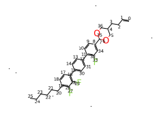 C=CCCC1COC(c2ccc(-c3ccc(-c4ccc(CCCCCC)c(F)c4F)cc3)c(F)c2)OC1